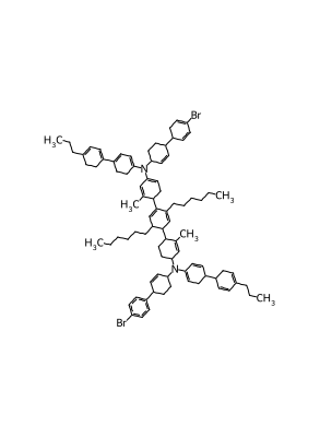 CCCCCCC1=CC(C2CCC(N(C3=CCC(C4C=CC(CCC)=CC4)C=C3)C3C=CC(c4ccc(Br)cc4)CC3)C=C2C)C(CCCCCC)C=C1C1CC=C(N(C2=CC=C(C3=CC=C(CCC)CC3)CC2)C2C=CC(C3C=CC(Br)=CC3)CC2)C=C1C